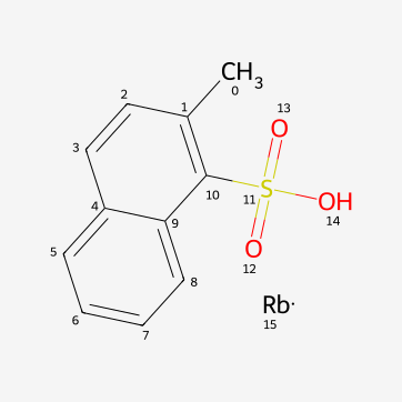 Cc1ccc2ccccc2c1S(=O)(=O)O.[Rb]